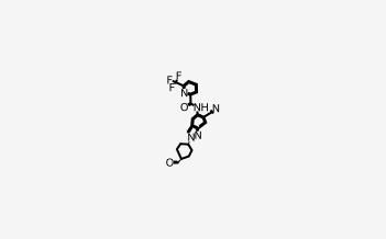 N#Cc1cc2nn([C@H]3CC[C@H](C=O)CC3)cc2cc1NC(=O)c1cccc(C(F)(F)F)n1